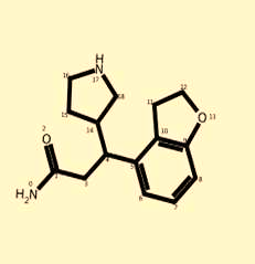 NC(=O)CC(c1cccc2c1CCO2)C1CCNC1